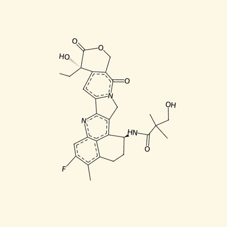 CC[C@@]1(O)C(=O)OCc2c1cc1n(c2=O)Cc2c-1nc1cc(F)c(C)c3c1c2[C@@H](NC(=O)C(C)(C)CO)CC3